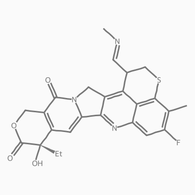 CC[C@@]1(O)C(=O)OCc2c1cc1n(c2=O)Cc2c-1nc1cc(F)c(C)c3c1c2C(C=NC)CS3